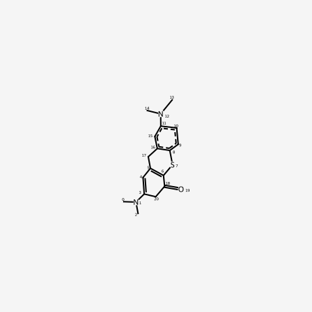 CN(C)C1=CC2=C(Sc3ccc(N(C)C)cc3C2)C(=O)C1